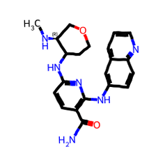 CN[C@H]1COCCC1Nc1ccc(C(N)=O)c(Nc2ccc3ncccc3c2)n1